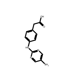 Bc1cnc(Nc2ccc(CC(=O)O)cc2)nc1